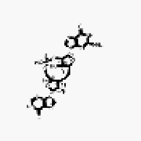 Nc1nc2c(ncn2[C@@H]2OC3CC[C@H]4[C@@H](F)[C@H](n5cnc6c(=O)[nH]cnc65)O[C@@H]4COP(O)(=S)O[C@@H]2[C@@H]3O)c(=O)[nH]1